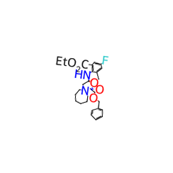 CCOC(=O)c1cc(F)cc(C)c1NC(=O)C[N+]1(CC(=O)OCc2ccccc2)CCCCCC1